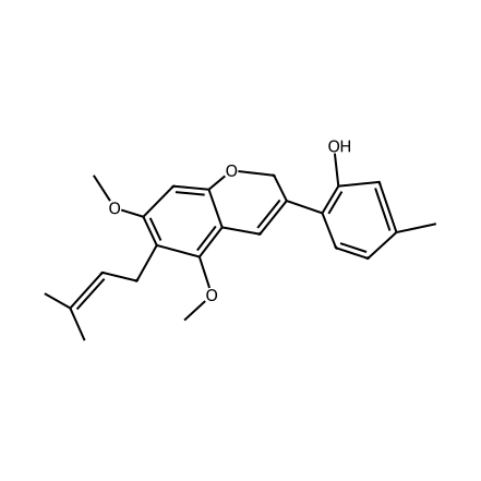 COc1cc2c(c(OC)c1CC=C(C)C)C=C(c1ccc(C)cc1O)CO2